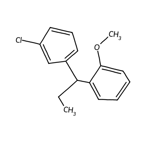 CCC(c1cccc(Cl)c1)c1ccccc1OC